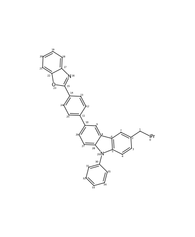 CC(C)Cc1ccc2c(c1)c1cc(-c3ccc(-c4nc5ccccc5o4)cc3)ccc1n2-c1ccccc1